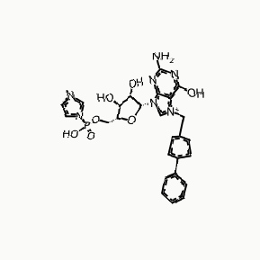 Nc1nc(O)c2c(n1)n([C@@H]1O[C@H](COP(=O)(O)n3ccnc3)[C@@H](O)[C@H]1O)c[n+]2Cc1ccc(-c2ccccc2)cc1